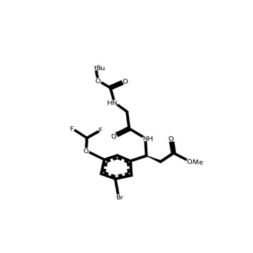 COC(=O)C[C@H](NC(=O)CNC(=O)OC(C)(C)C)c1cc(Br)cc(OC(F)F)c1